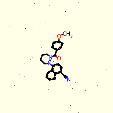 COc1ccc(C(=O)N2CCCCN2c2ccc(C#N)c3ccccc23)cc1